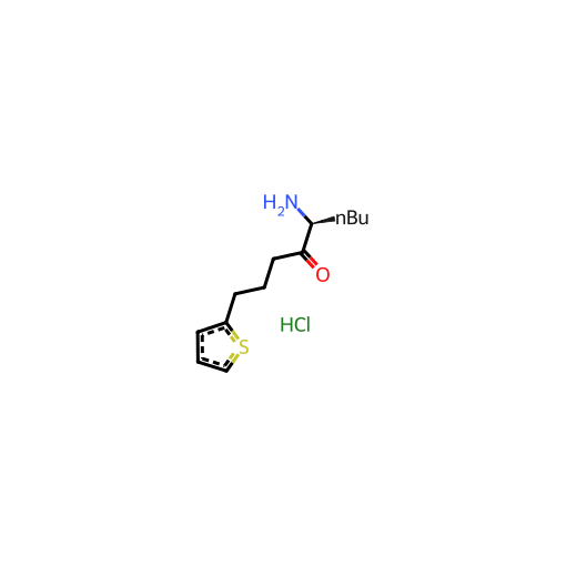 CCCC[C@H](N)C(=O)CCCc1cccs1.Cl